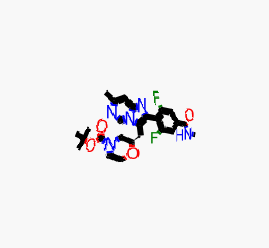 CNC(=O)c1cc(F)c(-c2nc3cc(C)ncn3c2C[C@H]2CN(C(=O)OC(C)(C)C)CCO2)c(F)c1